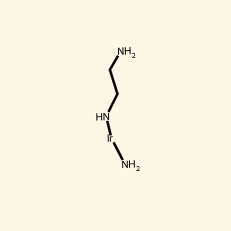 NCC[NH][Ir][NH2]